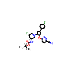 CC(C)(C)OC(=O)N[C@@H]1C[C@@H](F)CN(C2CC(c3ccc(F)cc3)CC2Oc2ccc(C#N)nn2)C1